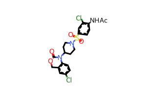 CC(=O)Nc1ccc(S(=O)(=O)N2CCC(N3C(=O)OCc4cc(Cl)ccc43)CC2)cc1Cl